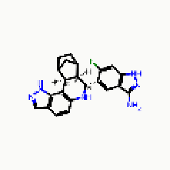 Nc1n[nH]c2cc(F)c([C@@H]3Nc4ccc5cn[nH]c5c4[C@H]4C5CCC(C5)[C@@H]34)cc12